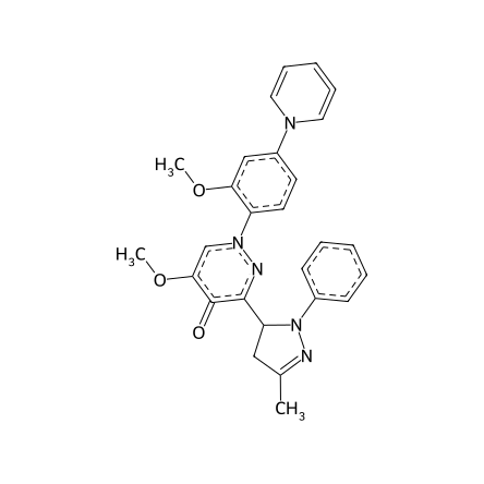 COc1cc(N2C=C=CC=C2)ccc1-n1cc(OC)c(=O)c(C2CC(C)=NN2c2ccccc2)n1